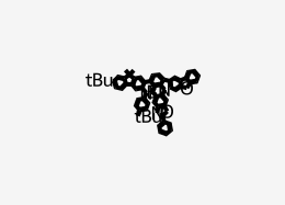 CC(C)(C)c1ccc(N2B3c4cc5nc(-c6ccccc6)oc5cc4-n4c5cc6oc7ccccc7c6cc5c5ccc(c3c54)-c3cc4c(cc32)-c2ccc(C(C)(C)C)cc2C4(C)C)cc1